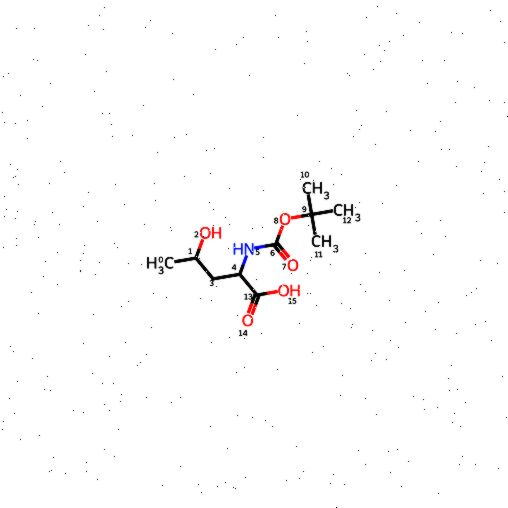 CC(O)CC(NC(=O)OC(C)(C)C)C(=O)O